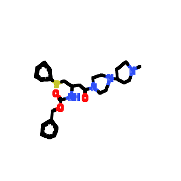 CN1CCC(N2CCN(C(=O)CC(CSc3ccccc3)NC(=O)OCc3ccccc3)CC2)CC1